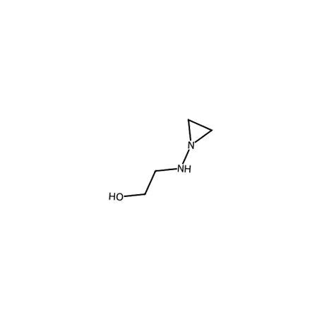 OCCNN1CC1